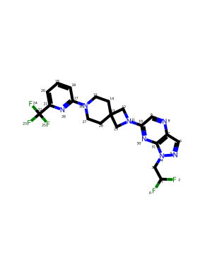 FC(F)Cn1ncc2ncc(N3CC4(CCN(c5cccc(C(F)(F)F)n5)CC4)C3)nc21